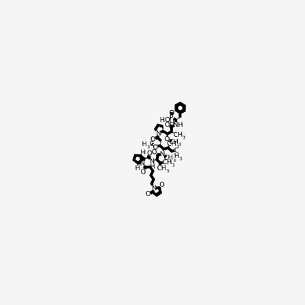 CC[C@H](C)[C@@H]([C@@H](CC(=O)N1CCC[C@H]1[C@H](OC)[C@@H](C)C(=O)N[C@@H](Cc1ccccc1)[PH](=O)O)OC)N(C)C(=O)[C@@H](NC(=O)[C@@H]1[C@H]2CC[C@H](C2)N1C(=O)CCCCCN1C(=O)C=CC1=O)C(C)C